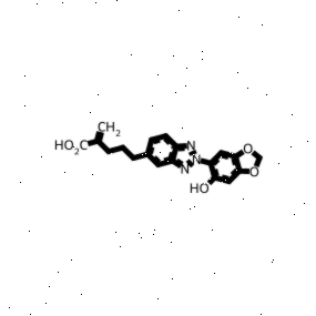 C=C(CCCc1ccc2nn(-c3cc4c(cc3O)OCO4)nc2c1)C(=O)O